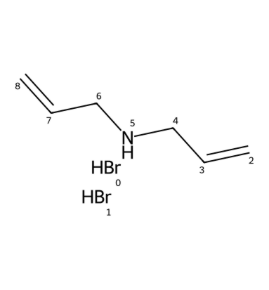 Br.Br.C=CCNCC=C